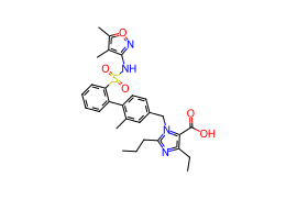 CCCc1nc(CC)c(C(=O)O)n1Cc1ccc(-c2ccccc2S(=O)(=O)Nc2noc(C)c2C)c(C)c1